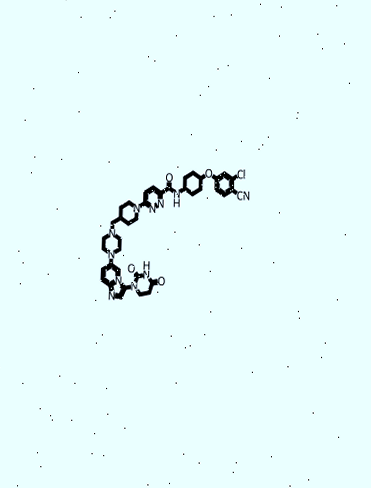 N#Cc1ccc(OC2CCC(NC(=O)c3ccc(N4CCC(CN5CCN(c6ccc7ncc(N8CCC(=O)NC8=O)n7c6)CC5)CC4)nn3)CC2)cc1Cl